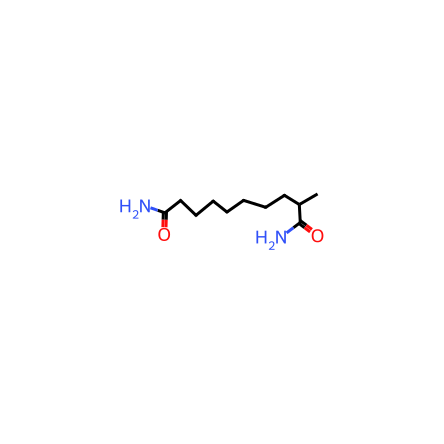 CC(CCCCCCCC(N)=O)C(N)=O